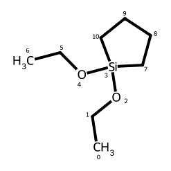 CCO[Si]1(OCC)CCCC1